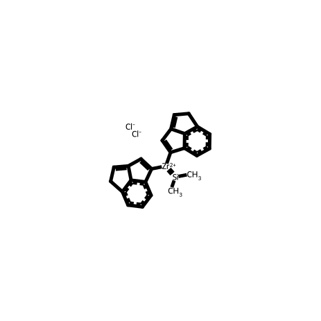 C[Si](C)=[Zr+2]([C]1=CC2=CCc3cccc1c32)[C]1=CC2=CCc3cccc1c32.[Cl-].[Cl-]